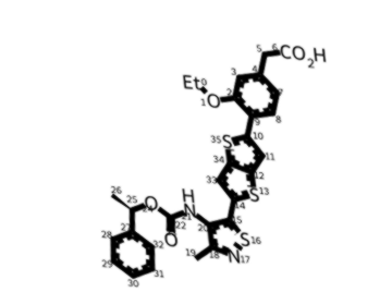 CCOc1cc(CC(=O)O)ccc1-c1cc2sc(-c3snc(C)c3NC(=O)O[C@H](C)c3ccccc3)cc2s1